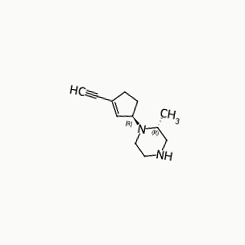 C#CC1=C[C@H](N2CCNC[C@H]2C)CC1